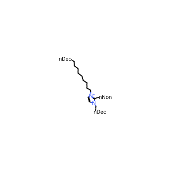 CCCCCCCCCCCCCCCCCCC[n+]1ccn(CCCCCCCCCCC)c1CCCCCCCCC